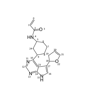 C=CC(=O)NC1CCCC(c2ncnc3[nH]cc(C4CC=CO4)c23)C1